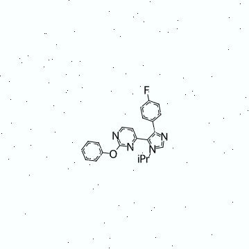 CC(C)n1cnc(-c2ccc(F)cc2)c1-c1ccnc(Oc2ccccc2)n1